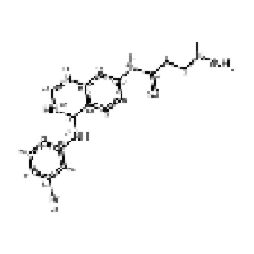 NNCCC(=O)Nc1ccc2c(c1)N=CNC2Nc1cccc(Br)c1